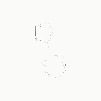 [c]1nc(-c2ncncn2)cs1